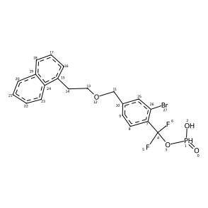 O=[PH](O)OC(F)(F)c1ccc(COCCc2cccc3ccccc23)cc1Br